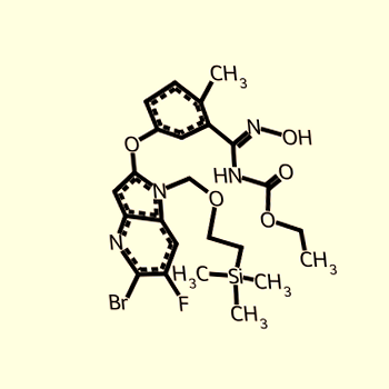 CCOC(=O)N/C(=N\O)c1cc(Oc2cc3nc(Br)c(F)cc3n2COCC[Si](C)(C)C)ccc1C